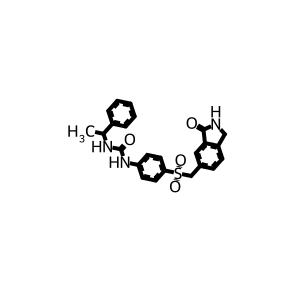 CC(NC(=O)Nc1ccc(S(=O)(=O)Cc2ccc3c(c2)C(=O)NC3)cc1)c1ccccc1